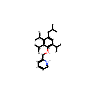 CC(C)[C]c1cc(C(C)C)c(OCc2ccccn2)c(C(C)C)c1C(C)C